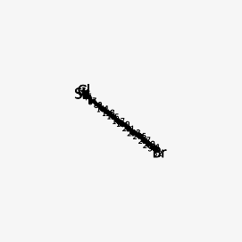 C[Si](C)(Cl)CCCCCCCCCCCCCCCCCCCCCCCCCCCCBr